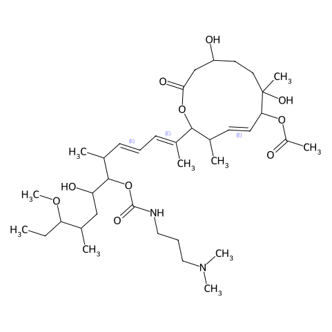 CCC(OC)C(C)CC(O)C(OC(=O)NCCCN(C)C)C(C)/C=C/C=C(\C)C1OC(=O)CC(O)CCC(C)(O)C(OC(C)=O)/C=C/C1C